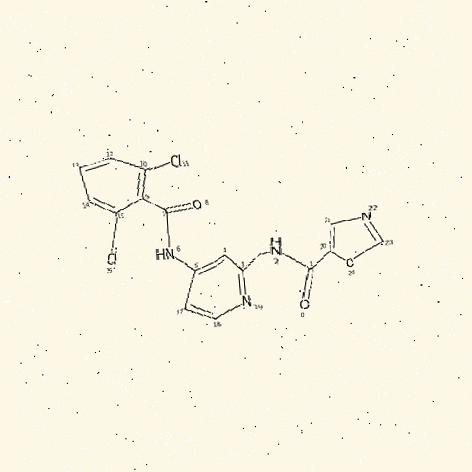 O=C(Nc1cc(NC(=O)c2c(Cl)cccc2Cl)ccn1)c1cnco1